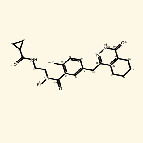 CCN(CCNC(=O)C1CC1)C(=O)c1cc(Cc2n[nH]c(=O)c3c2CCCC3)ccc1F